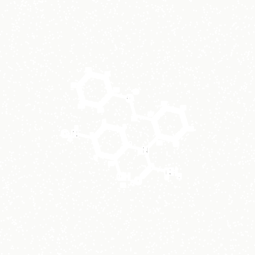 NC(=O)N(c1ccc([N+](=O)[O-])cc1O)c1ccccc1COc1ccccc1